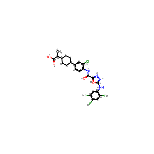 C[C@H](C(=O)O)C1CCC(c2ccc(NC(=O)c3nnc(Nc4cc(F)c(F)cc4F)o3)c(Cl)c2)CC1